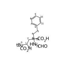 CC(C)(C)C(C[C@](CCc1ccccc1)(NC=O)C(=O)O)C(=O)O